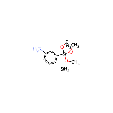 CO[Si](OC)(OC)c1cccc(N)c1.[SiH4]